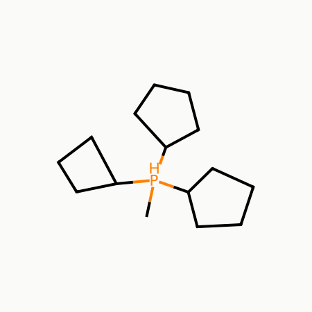 C[PH](C1CCCC1)(C1CCCC1)C1CCC1